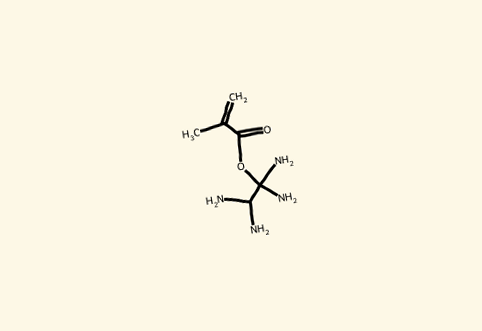 C=C(C)C(=O)OC(N)(N)C(N)N